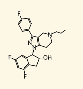 CCCN1CCc2c(c(-c3ccc(F)cc3)nn2[C@@H]2c3cc(F)cc(F)c3C[C@H]2O)C1